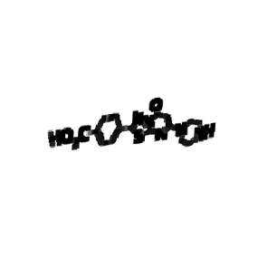 O=C(O)c1ccc(-c2nn3c(=O)cc(N4CCNCC4)nc3s2)cc1